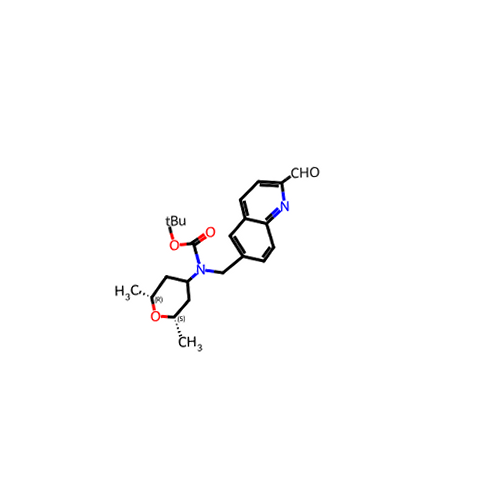 C[C@@H]1CC(N(Cc2ccc3nc(C=O)ccc3c2)C(=O)OC(C)(C)C)C[C@H](C)O1